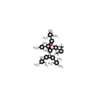 Cc1cc(C)c(-c2ccc3c(c2)c2cc(-c4c(C)cc(C)cc4C)ccc2n3-c2ccc(C#N)c(-c3cc(-c4c(C(F)(F)F)cccc4C(F)(F)F)ccc3-n3c4ccc(-c5c(C)cc(C)cc5C)cc4c4cc(-c5c(C)cc(C)cc5C)ccc43)c2)c(C)c1